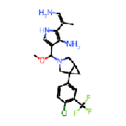 COC(c1c[nH]c(/C(C)=C\N)c1N)N1CC2CC2(c2ccc(Cl)c(C(F)(F)F)c2)C1